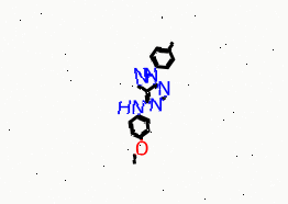 CCOc1ccc(Nc2ncnc3c2cnn3-c2ccc(C)cc2)cc1